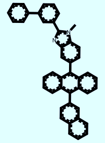 Cn1c(-c2cccc(-c3ccccc3)c2)nc2cc(-c3c4ccccc4c(-c4ccc5ccccc5c4)c4ccccc34)ccc21